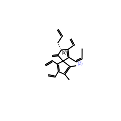 C=CC[C@H]1C(=C)C2(C(C)=C(C)C(C=C)=C2C=C)C(/C=C\C)=C1C=C